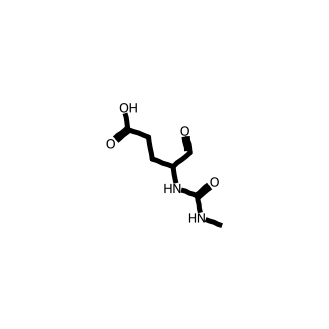 CNC(=O)NC(C=O)CCC(=O)O